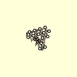 Fc1ccc2sc3c(c2c1)Oc1cc(N(c2c(F)cccc2F)c2c(F)cccc2F)cc2c1B3c1cc3c(cc1O2)N(c1c(F)cccc1F)c1cc(N(c2ccccc2)c2ccccc2)cc2c1B3c1cc3c(cc1N2c1c(F)cccc1F)N(c1c(F)cccc1F)c1cc(N(c2c(F)cccc2F)c2c(F)cccc2F)cc2c1B3c1sc3ccc(F)cc3c1O2